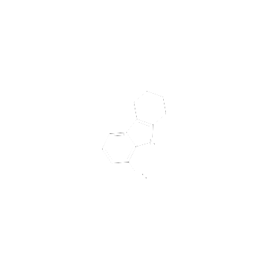 N#Cc1cccc2c3c([nH]c12)CC[CH]C3